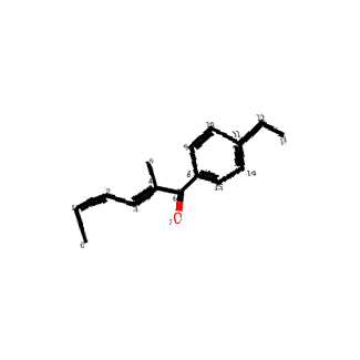 C/C=C\C=C(/C)C(=O)c1ccc(CC)cc1